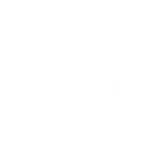 CCOC(=O)c1ccc(-c2ccc(F)cc2)c(C)c1